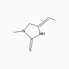 C/C=C1/CN(C)C(=S)N1